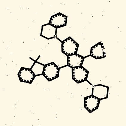 CC1(C)c2ccccc2-c2ccc(-c3c4ccc(N5CCCc6ccccc65)cc4c(-c4ccccc4)c4ccc(N5CCCc6ccccc65)cc34)cc21